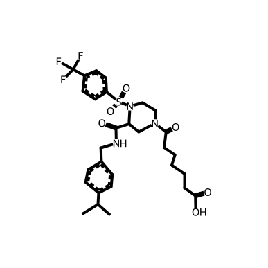 CC(C)c1ccc(CNC(=O)C2CN(C(=O)CCCCCC(=O)O)CCN2S(=O)(=O)c2ccc(C(F)(F)F)cc2)cc1